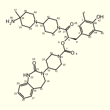 Cc1cc(C[C@@H](OC(=O)N2CCC(N3CCc4ccccc4NC3=O)CC2)C(=O)N2CCC(N3CCC(C)(N)CC3)CC2)cc(C)c1O